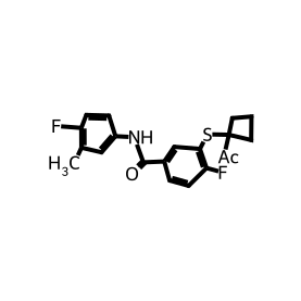 CC(=O)C1(Sc2cc(C(=O)Nc3ccc(F)c(C)c3)ccc2F)CCC1